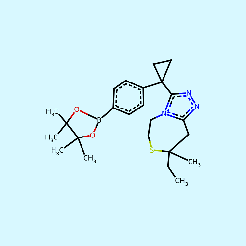 CCC1(C)Cc2nnc(C3(c4ccc(B5OC(C)(C)C(C)(C)O5)cc4)CC3)n2CCS1